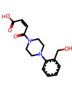 O=C(O)/C=C\C(=O)N1CCN(c2ccccc2CO)CC1